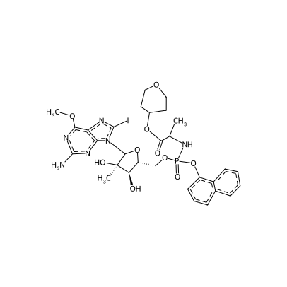 COc1nc(N)nc2c1nc(I)n2C1O[C@H](COP(=O)(NC(C)C(=O)OC2CCOCC2)Oc2cccc3ccccc23)[C@@H](O)[C@@]1(C)O